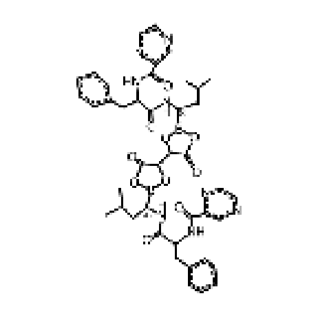 CC(C)C[C@H](NC(=O)C(Cc1ccccc1)NC(=O)c1cnccn1)B1OC(=O)C(C2OB([C@H](CC(C)C)NC(=O)C(Cc3ccccc3)NC(=O)c3cnccn3)OC2=O)O1